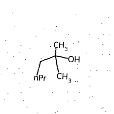 CCCCC(C)(C)O